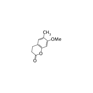 COc1cc2c(cc1C)CCC(=O)O2